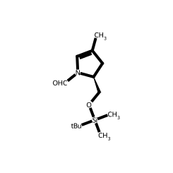 CC1=CN(C=O)[C@H](CO[Si](C)(C)C(C)(C)C)C1